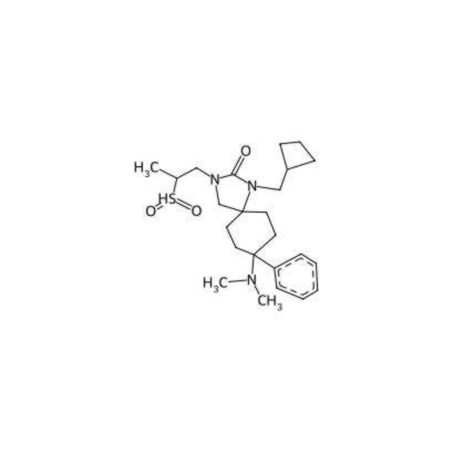 CC(CN1CC2(CCC(c3ccccc3)(N(C)C)CC2)N(CC2CCC2)C1=O)[SH](=O)=O